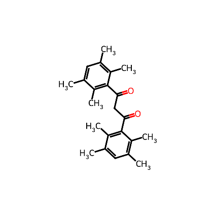 Cc1cc(C)c(C)c(C(=O)CC(=O)c2c(C)c(C)cc(C)c2C)c1C